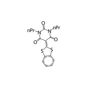 CCCN1C(=O)C(=C2Sc3ccccc3S2)C(=O)N(CCC)C1=O